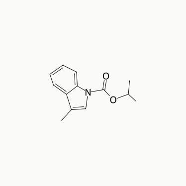 Cc1cn(C(=O)OC(C)C)c2ccccc12